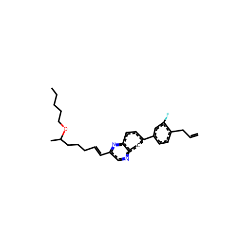 C=CCc1ccc(-c2ccc3nc(C=CCCCC(C)OCCCCC)cnc3c2)cc1F